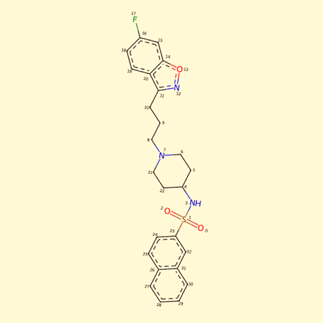 O=S(=O)(NC1CCN(CCCc2noc3cc(F)ccc23)CC1)c1ccc2ccccc2c1